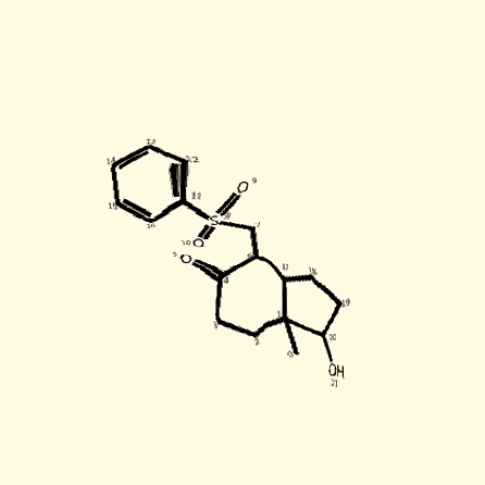 CC12CCC(=O)C(CS(=O)(=O)c3ccccc3)C1CCC2O